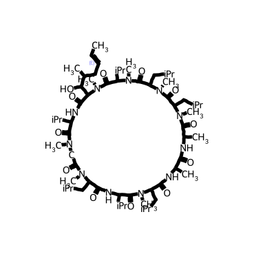 C/C=C/CC(C)C(O)C1C(=O)NC(C(C)C)C(=O)N(C)CC(=O)N(C)C(CC(C)C)C(=O)NC(C(C)C)C(=O)N(C)C(CC(C)C)C(=O)NC(C)C(=O)NC(C)C(=O)N(C)C(CC(C)C)C(=O)N(C)C(CC(C)C)C(=O)N(C)C(C(C)C)C(=O)N1C